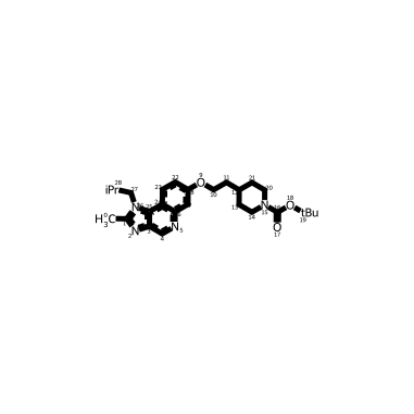 Cc1nc2cnc3cc(OCCC4CCN(C(=O)OC(C)(C)C)CC4)ccc3c2n1CC(C)C